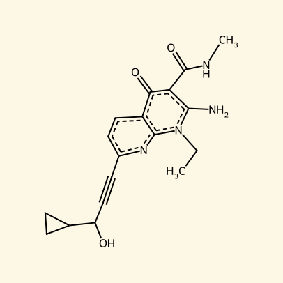 CCn1c(N)c(C(=O)NC)c(=O)c2ccc(C#CC(O)C3CC3)nc21